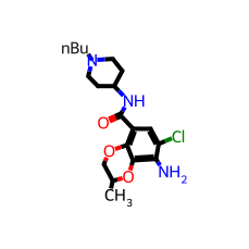 CCCCN1CCC(NC(=O)c2cc(Cl)c(N)c3c2OCC(C)O3)CC1